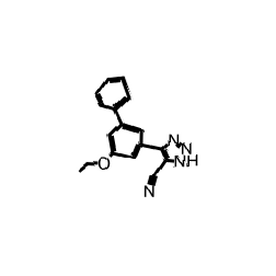 CCOc1cc(-c2ccccc2)cc(-c2nn[nH]c2C#N)c1